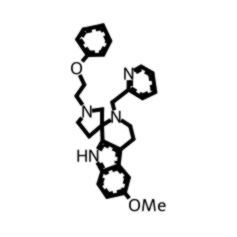 COc1ccc2[nH]c3c(c2c1)CCN(Cc1ccccn1)C31CCN(CCOc2ccccc2)C1